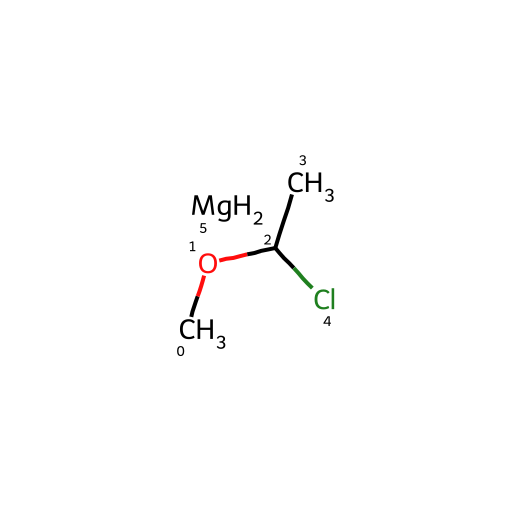 COC(C)Cl.[MgH2]